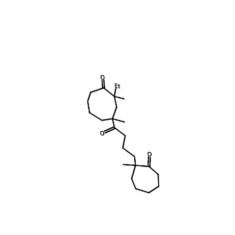 CCC1(C)CC(C)(C(=O)CCCC2(C)CCCCCC2=O)CCCCC1=O